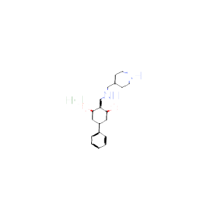 Cl.O=C1CC(c2ccccc2)CC(=O)C1=CNCC1CCNCC1